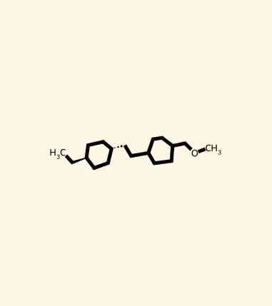 CC[C@H]1CC[C@H](CCC2CCC(COC)CC2)CC1